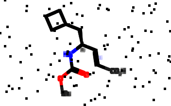 CC(C)(C)OC(=O)N[C@H](/C=C/C(=O)O)CC1CCC1